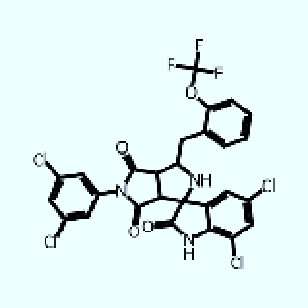 O=C1C2C(Cc3ccccc3OC(F)(F)F)NC3(C(=O)Nc4c(Cl)cc(Cl)cc43)C2C(=O)N1c1cc(Cl)cc(Cl)c1